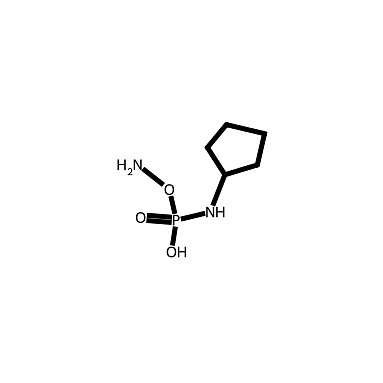 NOP(=O)(O)NC1CCCC1